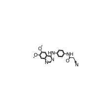 COc1cc2ncnc(Nc3ccc(NC(=O)CC#N)cc3)c2cc1OC